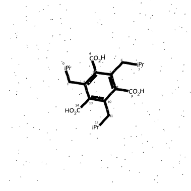 CC(C)Cc1c(C(=O)O)c(CC(C)C)c(C(=O)O)c(CC(C)C)c1C(=O)O